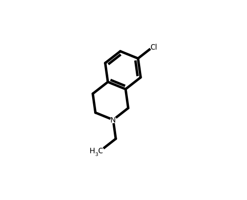 CCN1CCc2ccc(Cl)cc2C1